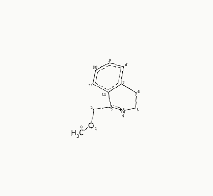 COCC1=NCCc2ccccc21